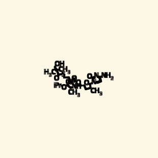 CC(C)OC(=O)[C@@H](C)N[P@@](=O)(OCCSC(=O)C(C)(C)CO)OC[C@@H]1CC(C)[C@H](n2ccc(N)nc2=O)O1